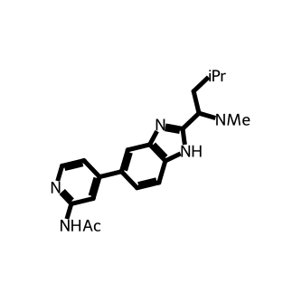 CNC(CC(C)C)c1nc2cc(-c3ccnc(NC(C)=O)c3)ccc2[nH]1